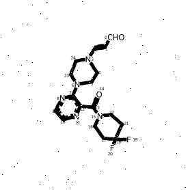 O=CC=CN1CCN(c2nccnc2C(=O)N2CCC(F)(F)CC2)CC1